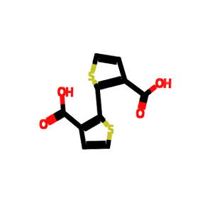 O=C(O)c1ccsc1-c1sccc1C(=O)O